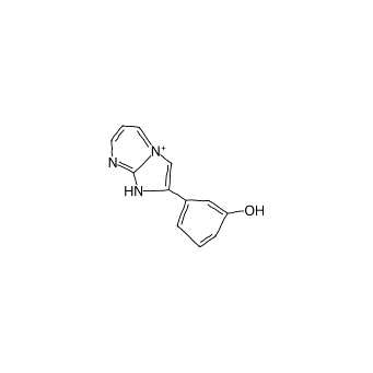 Oc1cccc(-c2c[n+]3cccnc3[nH]2)c1